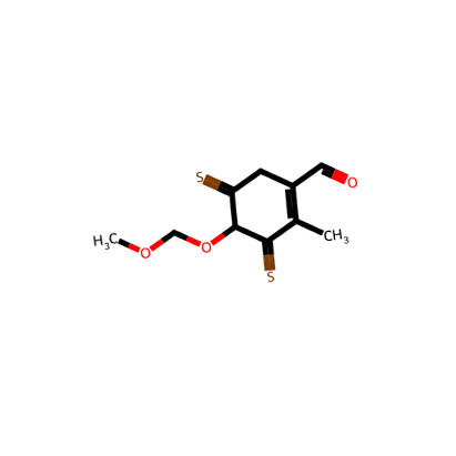 COCOC1C(=S)CC(C=O)=C(C)C1=S